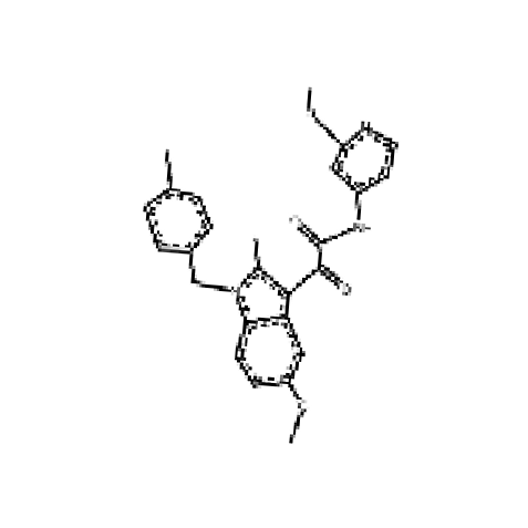 COc1ccc2c(c1)c(C(=O)C(=O)Nc1ccnc(OC)c1)c(C)n2Cc1ccc(C)cc1